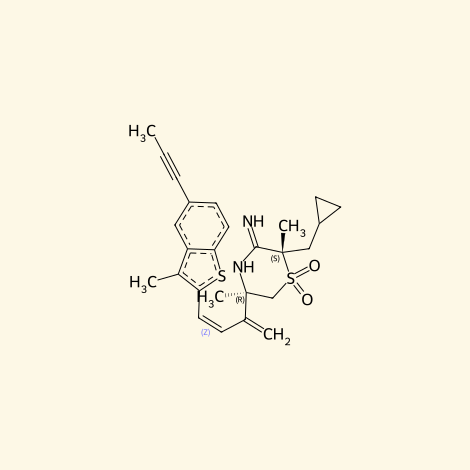 C=C(/C=C\c1sc2ccc(C#CC)cc2c1C)[C@]1(C)CS(=O)(=O)[C@@](C)(CC2CC2)C(=N)N1